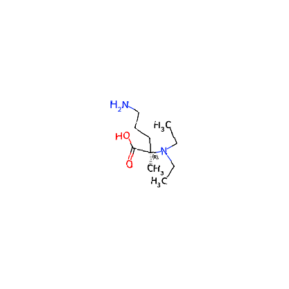 CCN(CC)[C@](C)(CCCN)C(=O)O